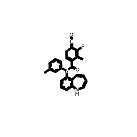 CC1=C(F)C(=C=O)CC=C1C(=O)N(c1cccc(C)c1)c1cccc2c1C=CC=CN2